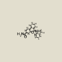 CC(C)c1cccnc1NC(=O)c1ccccc1-c1ccc(C(N)=O)cc1